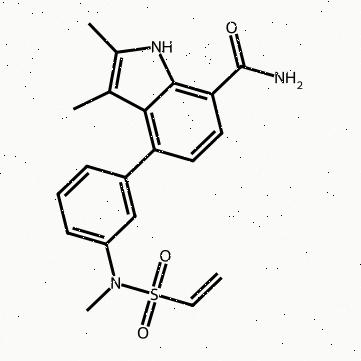 C=CS(=O)(=O)N(C)c1cccc(-c2ccc(C(N)=O)c3[nH]c(C)c(C)c23)c1